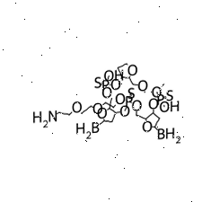 BC1CC(OP(O)(=S)OC)C(COP(=S)(OCCOCCOCCN)OC2CC(B)OC2COP(O)(=S)OC2CCOC2COC)O1